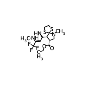 CCOC(=O)[C@H]1CN(C)C2(SCCS2)[C@@H]1C(=N)/C=C(\NC)C(F)(F)F